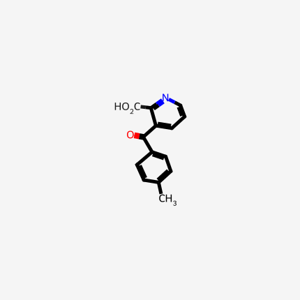 Cc1ccc(C(=O)c2cccnc2C(=O)O)cc1